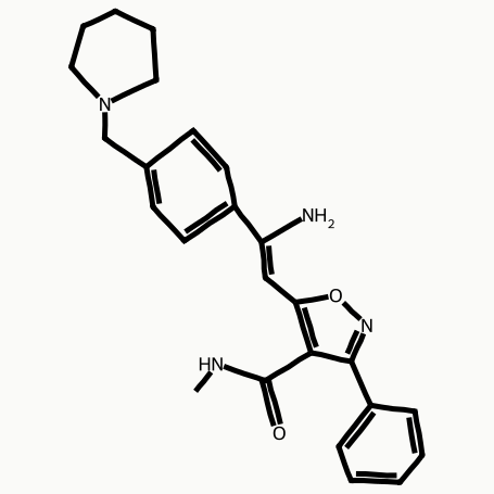 CNC(=O)c1c(-c2ccccc2)noc1C=C(N)c1ccc(CN2CCCCC2)cc1